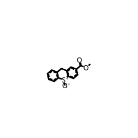 COC(=O)c1ccc2c(c1)Cc1ccccc1[S+]2[O-]